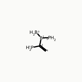 BB(P)C(=C)P